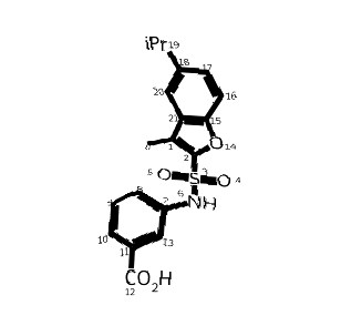 Cc1c(S(=O)(=O)Nc2cccc(C(=O)O)c2)oc2ccc(C(C)C)cc12